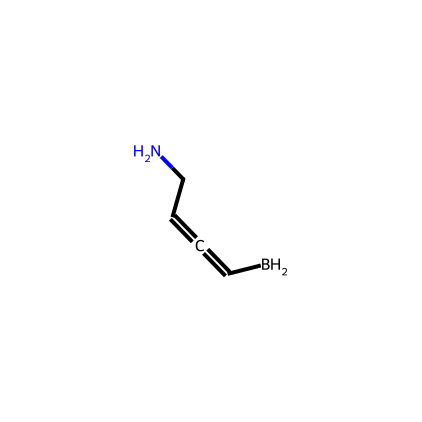 BC=C=CCN